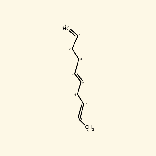 [CH]=CCCC=CCC=CC